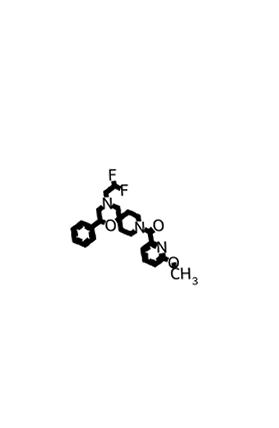 COc1cccc(C(=O)N2CCC3(CC2)CN(CC(F)F)CC(c2ccccc2)O3)n1